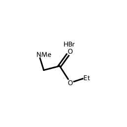 Br.CCOC(=O)CNC